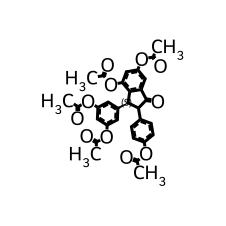 CC(=O)Oc1ccc(C2C(=O)c3cc(OC(C)=O)cc(OC(C)=O)c3[C@@H]2c2cc(OC(C)=O)cc(OC(C)=O)c2)cc1